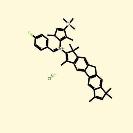 CC1=CC(C)(C)c2cc3c(cc21)-c1cc2c(cc1C3)C(C)(C)[C]([Zr+2](=[CH]c1ccc(F)cc1)[C]1=C(C)C([Si](C)(C)C)=CC1C)=C2C.[Cl-].[Cl-]